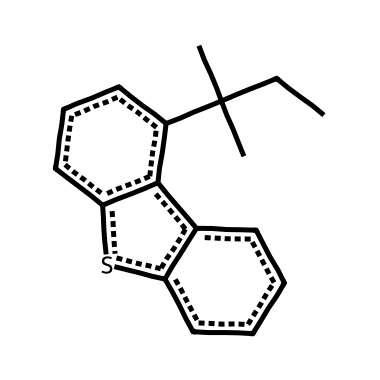 CCC(C)(C)c1cccc2sc3ccccc3c12